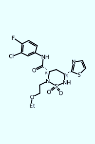 CCOCCN1[C@H](C(=O)Nc2ccc(F)c(Cl)c2)C[C@H](c2nccs2)NS1(=O)=O